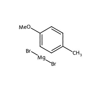 COc1ccc(C)cc1.[Br][Mg][Br]